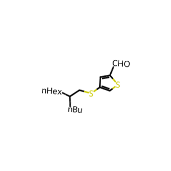 CCCCCCC(CCCC)CSc1csc(C=O)c1